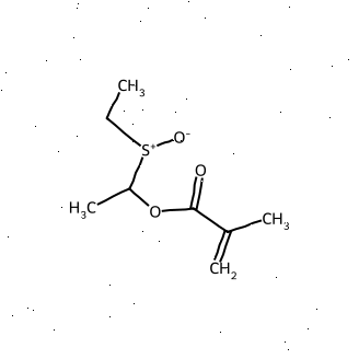 C=C(C)C(=O)OC(C)[S+]([O-])CC